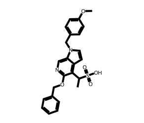 COc1ccc(Cn2ccc3c(C(C)S(=O)(=O)O)c(OCc4ccccc4)ncc32)cc1